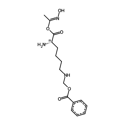 CC(=NO)OC(=O)[C@@H](N)CCCCNCOC(=O)c1ccccc1